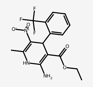 CCOC(=O)C1=C(N)NC(C)=C([N+](=O)[O-])C1c1ccccc1C(F)(F)F